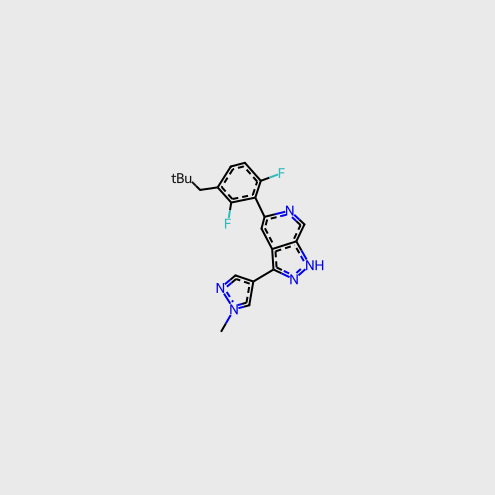 Cn1cc(-c2n[nH]c3cnc(-c4c(F)ccc(CC(C)(C)C)c4F)cc23)cn1